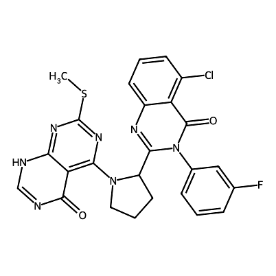 CSc1nc(N2CCCC2c2nc3cccc(Cl)c3c(=O)n2-c2cccc(F)c2)c2c(=O)nc[nH]c2n1